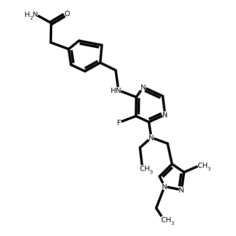 CCN(Cc1cn(CC)nc1C)c1ncnc(NCc2ccc(CC(N)=O)cc2)c1F